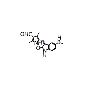 CBc1ccc2c(c1)/C(=C/c1[nH]c(C)c(C=O)c1C)C(=O)N2